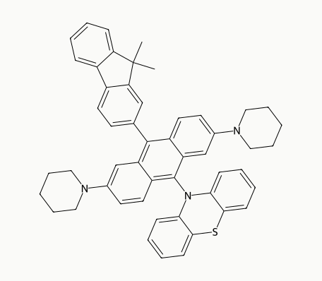 CC1(C)c2ccccc2-c2ccc(-c3c4cc(N5CCCCC5)ccc4c(N4c5ccccc5Sc5ccccc54)c4cc(N5CCCCC5)ccc34)cc21